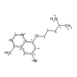 Cc1ncnc2c(OCCCC(C)N)cc(Br)cc12